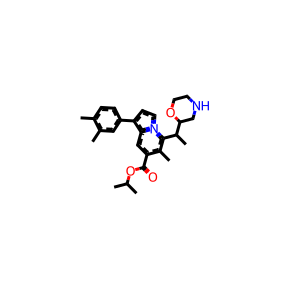 Cc1ccc(-c2ccn3c(C(C)C4CNCCO4)c(C)c(C(=O)OC(C)C)cc23)cc1C